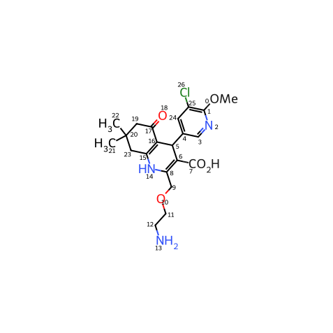 COc1ncc(C2C(C(=O)O)=C(COCCN)NC3=C2C(=O)CC(C)(C)C3)cc1Cl